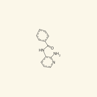 Nc1ncccc1NC(=O)c1ccccc1